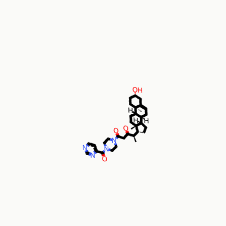 C[C@@H](C(=O)CC(=O)N1CCN(C(=O)c2ccncn2)CC1)[C@H]1CC[C@H]2[C@@H]3CC=C4C[C@@H](O)CC[C@]4(C)[C@H]3CC[C@@]12C